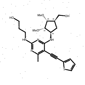 CO[C@@H]1[C@@H](CO)C[C@@H](Nc2nc(NCCCO)nc(C)c2C#Cc2cccs2)[C@@H]1OC